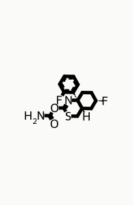 NC(=O)OC1=N[C@@]2(c3ccccc3F)CC[C@H](F)C[C@H]2CS1